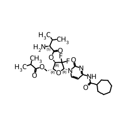 CC(C)C(=O)OC[C@H]1O[C@@H](n2ccc(NC(=O)C3CCCCCC3)nc2=O)C(F)(F)[C@@H]1OC(=O)[C@@H](N)C(C)C